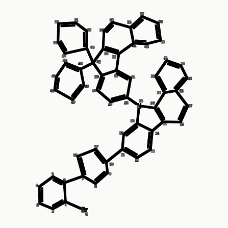 Brc1ccccc1-c1ccc(-c2ccc3c4ccc5ccccc5c4n(-c4ccc5c(c4)-c4c(ccc6ccccc46)C5(c4ccccc4)c4ccccc4)c3c2)cc1